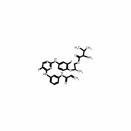 C=CC(=O)Nc1cccc(Nc2nc(Nc3ccc(O[C@H](C)COC(=O)C(N)C(C)C)c(F)c3)ncc2F)c1